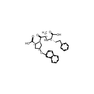 C[C@H](N[C@@H](CCc1ccccc1)C(=O)O)C(=O)N1C[C@@H](Oc2ccc3ccccc3c2)C[C@H]1C(=O)O